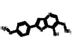 COc1ccc(-c2cc3ncc(SC)c(O)c3s2)cc1